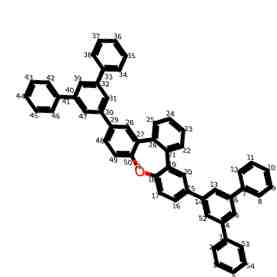 c1ccc(-c2cc(-c3ccccc3)cc(-c3ccc4c(c3)-c3ccccc3-c3cc(-c5cc(-c6ccccc6)cc(-c6ccccc6)c5)ccc3O4)c2)cc1